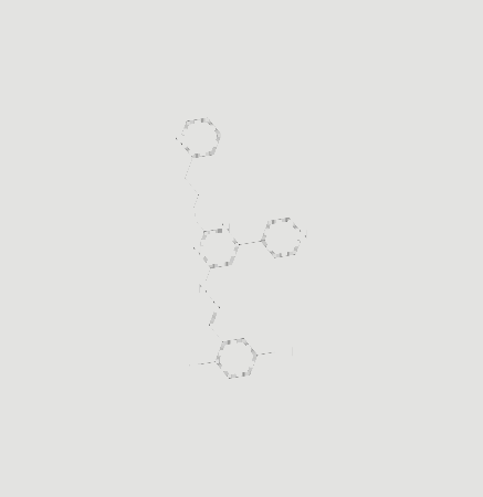 Cc1ccc(O)c(C=NNc2cc(-c3ccncc3)nc(OCCc3ccccn3)n2)c1